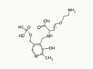 Cc1ncc(COP(=O)(O)O)c(CNC(/C=C/OCCN)C(=O)O)c1O